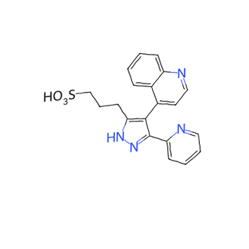 O=S(=O)(O)CCCc1[nH]nc(-c2ccccn2)c1-c1ccnc2ccccc12